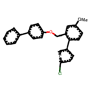 COc1ccc(-c2ccc(Cl)cc2)c(COc2ccc(-c3[c]cccc3)cc2)c1